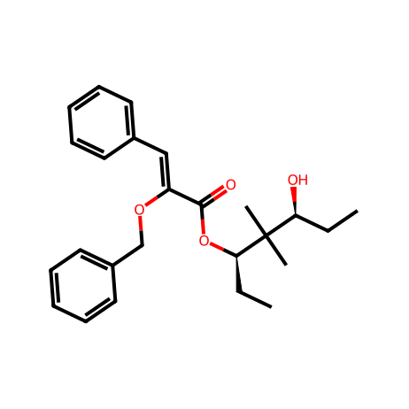 CC[C@H](O)C(C)(C)[C@@H](CC)OC(=O)C(=Cc1ccccc1)OCc1ccccc1